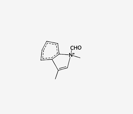 CC1=C[N+](C)(C=O)c2ccccc21